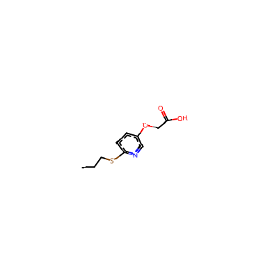 CCCSc1ccc(OCC(=O)O)cn1